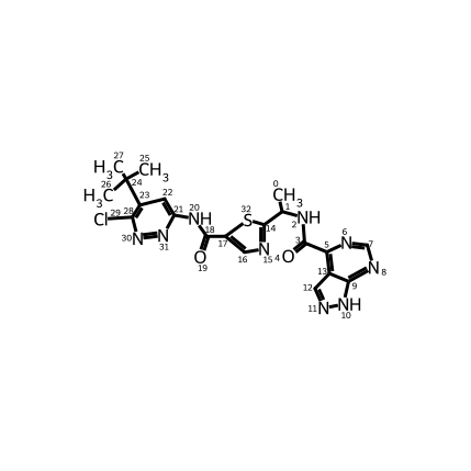 CC(NC(=O)c1ncnc2[nH]ncc12)c1ncc(C(=O)Nc2cc(C(C)(C)C)c(Cl)nn2)s1